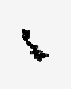 CCOc1cc(N2CCC(N3CCN(CCc4ccc(F)c5c4oc(=O)n5C4CCC(=O)NC4=O)CC3)CC2)c(CC)cc1Nc1ncc(Br)c(Nc2cc(F)c3nc(CC)ccc3c2P(C)(C)=O)n1